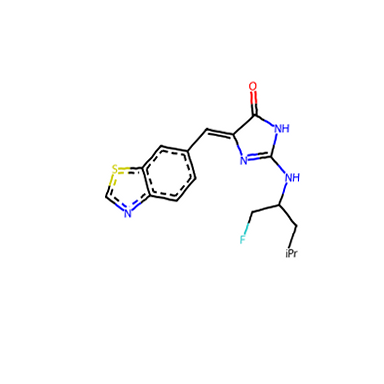 CC(C)CC(CF)NC1=N/C(=C\c2ccc3ncsc3c2)C(=O)N1